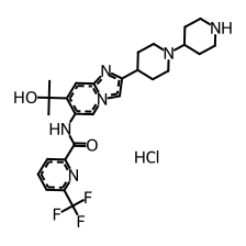 CC(C)(O)c1cc2nc(C3CCN(C4CCNCC4)CC3)cn2cc1NC(=O)c1cccc(C(F)(F)F)n1.Cl